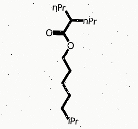 CCCC(CCC)C(=O)OCCCCCC(C)C